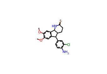 COc1cc2c(cc1OC)C(c1ccc(N)c(Cl)c1)C1CCC(=S)NC21